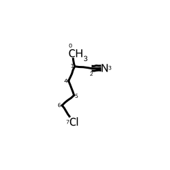 CC(C#N)CCCCl